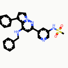 CS(=O)(=O)Nc1cncc(-c2cc(NCc3ccccc3)c3c(-c4ccccc4)ccn3n2)c1